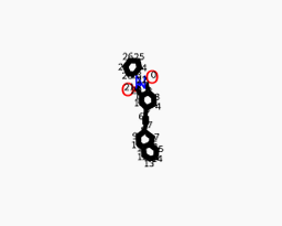 O=C1c2ccc(C#Cc3ccc4ccccc4c3)cc2C(=O)N1c1ccccc1